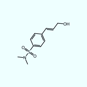 CN(C)S(=O)(=O)c1ccc(C=CCO)cc1